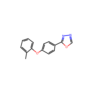 Cc1ccccc1Oc1ccc(-c2nnco2)cc1